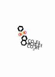 CCOC(=O)C(C(=O)OCC)(C(=O)OCC)[C@@H]1CCCc2cc(S(=O)(=O)c3ccccc3)ccc21